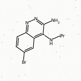 CC(C)Nc1c(N)nnc2ccc(Br)cc12